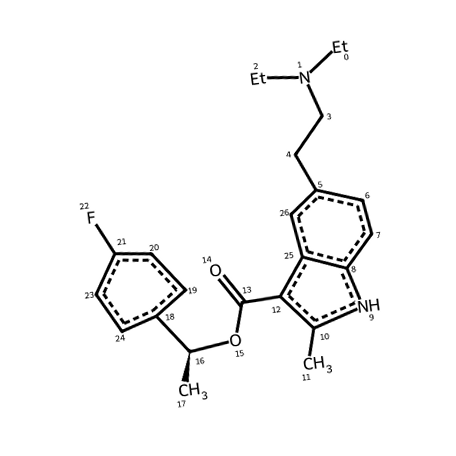 CCN(CC)CCc1ccc2[nH]c(C)c(C(=O)O[C@@H](C)c3ccc(F)cc3)c2c1